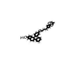 Oc1ccc2c(c1)CCC(c1ccccc1)[C@@H]2c1ccc(OCCCC2CC3(C2)OCCO3)cc1